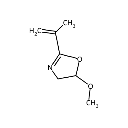 C=C(C)C1=NCC(OC)O1